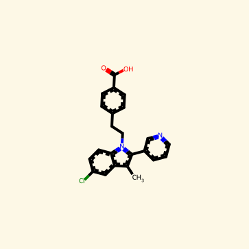 Cc1c(-c2cccnc2)n(CCc2ccc(C(=O)O)cc2)c2ccc(Cl)cc12